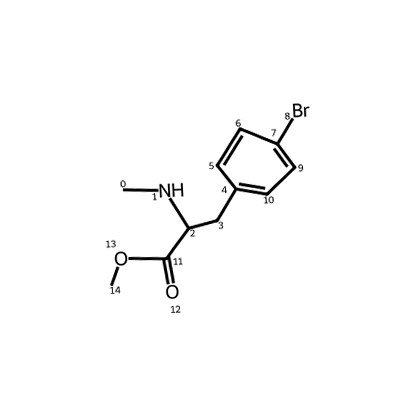 CNC(Cc1ccc(Br)cc1)C(=O)OC